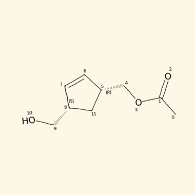 CC(=O)OC[C@H]1C=C[C@@H](CO)C1